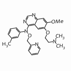 COc1cc2ncnc(N(OCc3ccccn3)c3cccc(C)c3)c2cc1OCCN(C)C